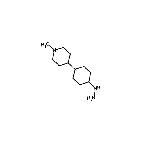 CN1CCC(N2CCC(NN)CC2)CC1